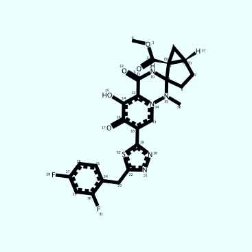 COC(=O)[C@@]12C[C@@H]1CCC21NC(=O)c2c(O)c(=O)c(-c3nnc(Cc4ccc(F)cc4F)s3)cn2N1C